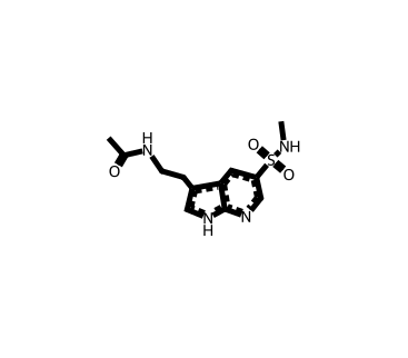 CNS(=O)(=O)c1cnc2[nH]cc(CCNC(C)=O)c2c1